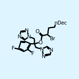 CCCCCCCCCCCCC(Br)C(=O)OC(Cn1cncn1)(Cn1cncn1)c1ccc(F)cc1F